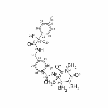 BC1C(=O)N(B)C(=O)[C@@](B)(N2Cc3cc(CNC(=O)C(F)(F)c4ccc(Cl)cc4)ccc3C2=O)C1B